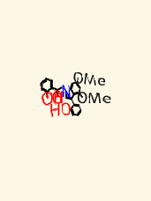 COc1cc(OC)c2c(-c3ccccc3O)cn(CC(=O)c3ccccc3O)c2c1